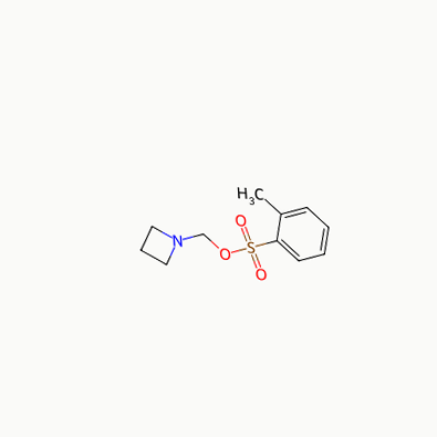 Cc1ccccc1S(=O)(=O)OCN1CCC1